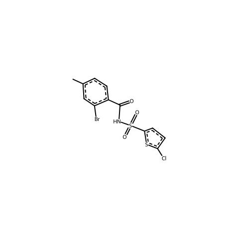 Cc1ccc(C(=O)NS(=O)(=O)c2ccc(Cl)s2)c(Br)c1